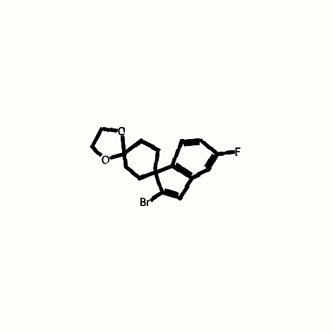 Fc1ccc2c(c1)C=C(Br)C21CCC2(CC1)OCCO2